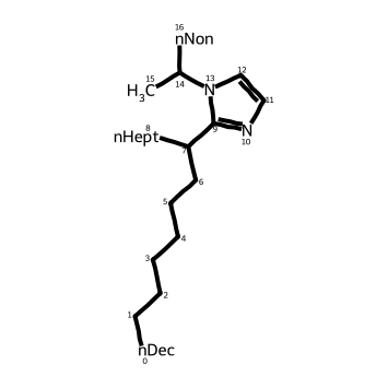 CCCCCCCCCCCCCCCCC(CCCCCCC)c1nccn1C(C)CCCCCCCCC